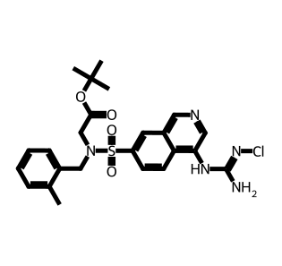 Cc1ccccc1CN(CC(=O)OC(C)(C)C)S(=O)(=O)c1ccc2c(NC(N)=NCl)cncc2c1